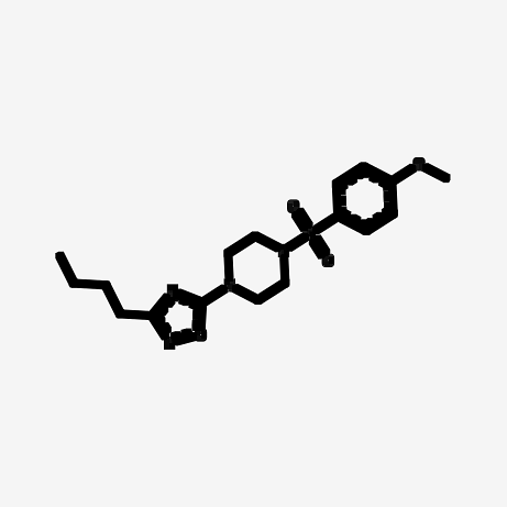 CCCCc1noc(N2CCN(S(=O)(=O)c3ccc(OC)cc3)CC2)n1